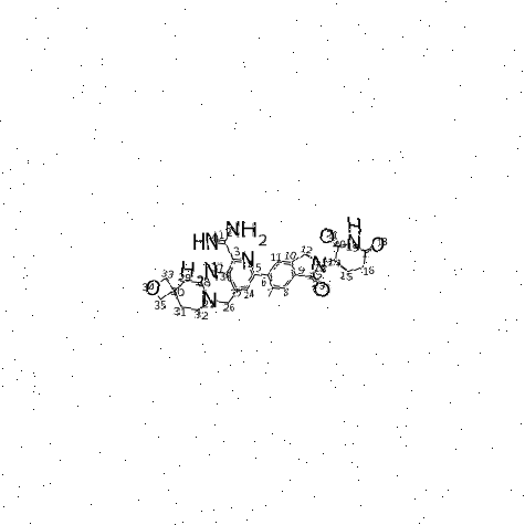 N=C(N)c1nc(-c2ccc3c(c2)CN(C2CCC(=O)NC2=O)C3=O)cc(CN2CCC3(CC2)COC3)c1N